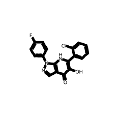 O=c1c(O)c(-c2ccccc2Cl)[nH]c2c1cnn2-c1ccc(F)cc1